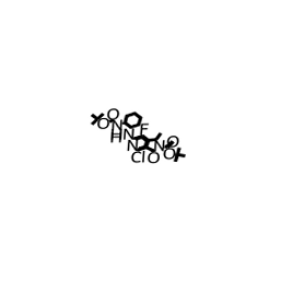 CC1c2c(F)c(N[C@@H]3CCCC[C@@H]3NC(=O)OC(C)(C)C)nc(Cl)c2C(=O)N1C(=O)OC(C)(C)C